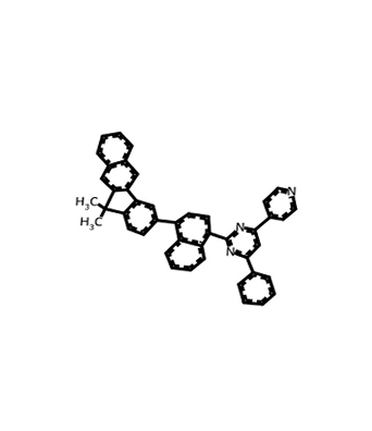 CC1(C)c2ccc(-c3ccc(-c4nc(-c5ccccc5)cc(-c5ccncc5)n4)c4ccccc34)cc2-c2cc3ccccc3cc21